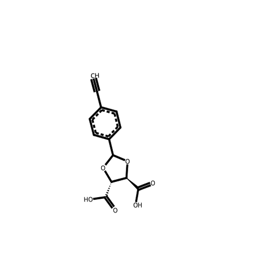 C#Cc1ccc(C2O[C@@H](C(=O)O)[C@H](C(=O)O)O2)cc1